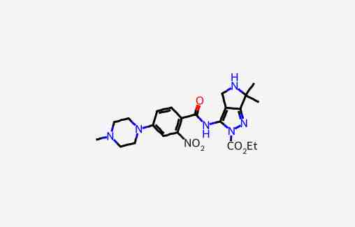 CCOC(=O)n1nc2c(c1NC(=O)c1ccc(N3CCN(C)CC3)cc1[N+](=O)[O-])CNC2(C)C